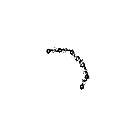 O=C(Cc1ccc(CC(=O)OCc2ccccc2)cc1)OCCC1CCN(CC(=O)N2CCN(C(=O)CN3CCC(CCOC(=O)Cc4ccc(CC(=O)OCc5ccccc5)cc4)CC3)CC2)CC1